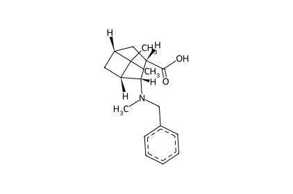 CN(Cc1ccccc1)[C@H]1[C@@H](C(=O)O)C[C@H]2C[C@@H]1C2(C)C